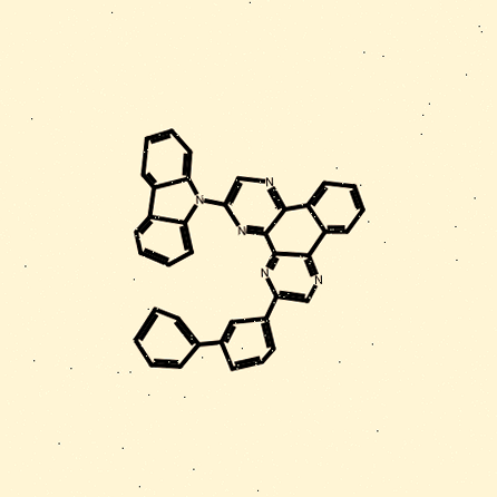 c1ccc(-c2cccc(-c3cnc4c5ccccc5c5ncc(-n6c7ccccc7c7ccccc76)nc5c4n3)c2)cc1